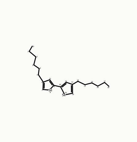 CCCCCCc1c[se]c(-c2cc(CCCCCC)c[se]2)c1